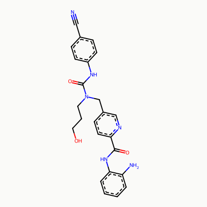 N#Cc1ccc(NC(=O)N(CCCO)Cc2ccc(C(=O)Nc3ccccc3N)nc2)cc1